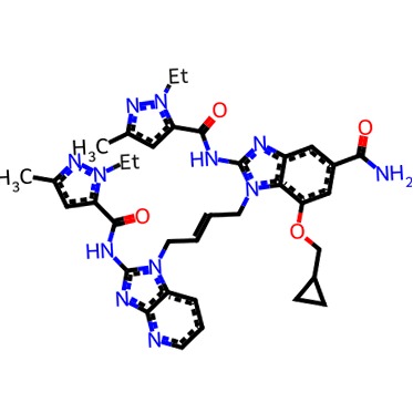 CCn1nc(C)cc1C(=O)Nc1nc2ncccc2n1C/C=C/Cn1c(NC(=O)c2cc(C)nn2CC)nc2cc(C(N)=O)cc(OCC3CC3)c21